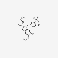 CCOC(=O)c1cc2cc(OC)c(F)cc2n1Cc1ccc(Cl)c(C(F)(F)F)c1